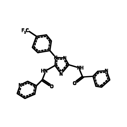 O=C(Nc1nc(NC(=O)c2cccnc2)n(-c2ccc(C(F)(F)F)cc2)n1)c1cccnc1